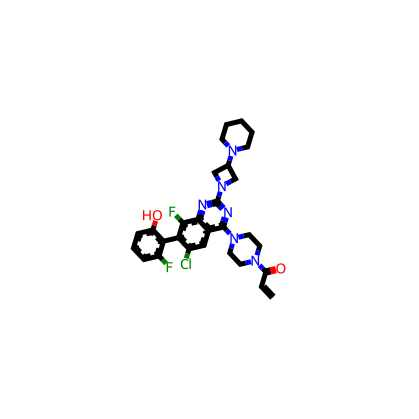 C=CC(=O)N1CCN(c2nc(N3CC(N4CCCCC4)C3)nc3c(F)c(-c4c(O)cccc4F)c(Cl)cc23)CC1